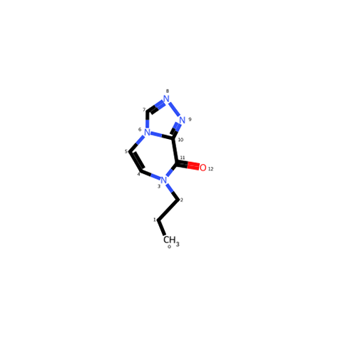 CCCn1ccn2cnnc2c1=O